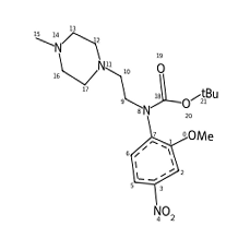 COc1cc([N+](=O)[O-])ccc1N(CCN1CCN(C)CC1)C(=O)OC(C)(C)C